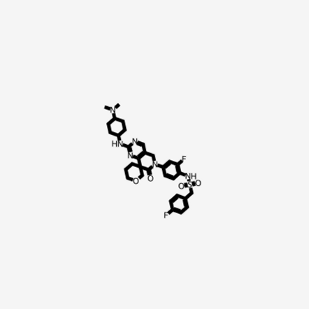 CN(C)C1CCC(Nc2ncc3c(n2)C2(CCCOC2)C(=O)N(c2ccc(NS(=O)(=O)Cc4ccc(F)cc4)c(F)c2)C3)CC1